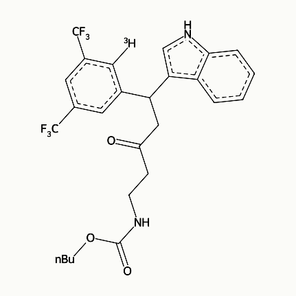 [3H]c1c(C(CC(=O)CCNC(=O)OCCCC)c2c[nH]c3ccccc23)cc(C(F)(F)F)cc1C(F)(F)F